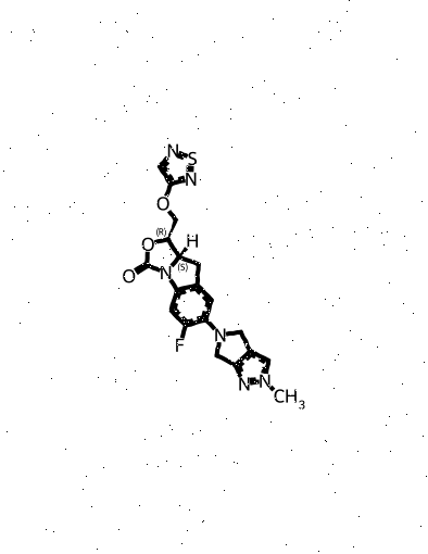 Cn1cc2c(n1)CN(c1cc3c(cc1F)N1C(=O)O[C@@H](COc4cnsn4)[C@@H]1C3)C2